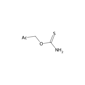 CC(=O)COC(N)=S